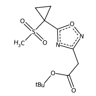 CC(C)(C)OC(=O)Cc1noc(C2(S(C)(=O)=O)CC2)n1